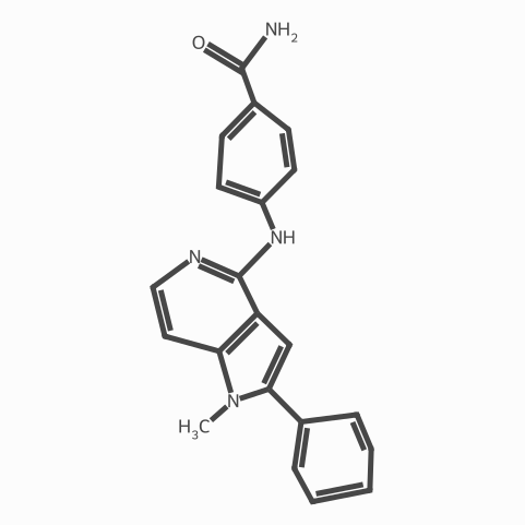 Cn1c(-c2ccccc2)cc2c(Nc3ccc(C(N)=O)cc3)nccc21